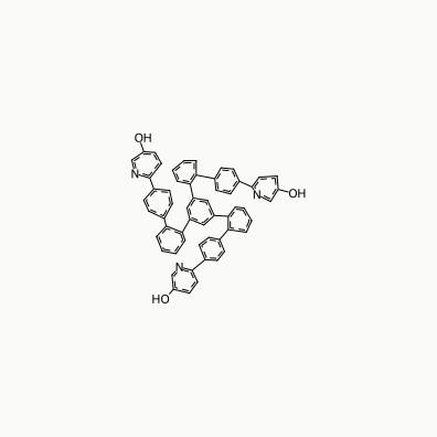 Oc1ccc(-c2ccc(-c3ccccc3-c3cc(-c4ccccc4-c4ccc(-c5ccc(O)cn5)cc4)cc(-c4ccccc4-c4ccc(-c5ccc(O)cn5)cc4)c3)cc2)nc1